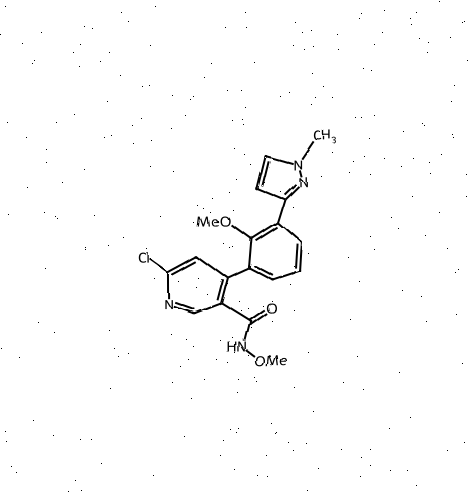 CONC(=O)c1cnc(Cl)cc1-c1cccc(-c2ccn(C)n2)c1OC